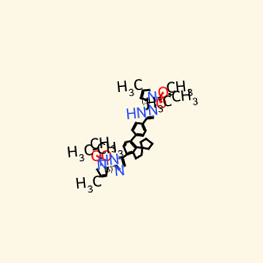 CC1=C[C@@H](c2ncc(-c3ccc(-c4ccc(-c5cnc([C@@H]6C=C(C)CN6C(=O)OC(C)(C)C)[nH]5)c5c4C4(CCCC4)CC5)cc3)[nH]2)N(C(=O)OC(C)(C)C)C1